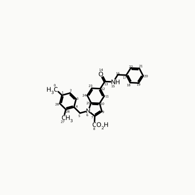 Cc1ccc(Cn2c(C(=O)O)cc3cc(C(=O)NCc4ccccc4)ccc32)c(C)c1